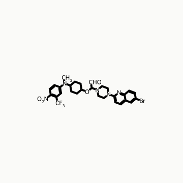 CN(c1ccc([N+](=O)[O-])c(C(F)(F)F)c1)C1CCC(OC(C=O)N2CCN(c3ccc4cc(Br)ccc4n3)CC2)CC1